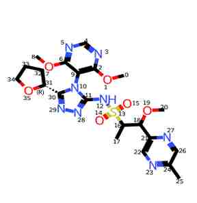 COc1ncnc(OC)c1-n1c(NS(=O)(=O)C(C)C(OC)c2cnc(C)cn2)nnc1[C@H]1CCCO1